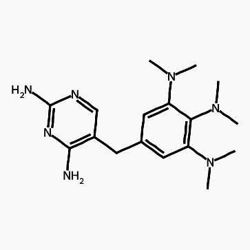 CN(C)c1cc(Cc2cnc(N)nc2N)cc(N(C)C)c1N(C)C